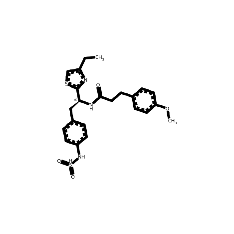 CCc1csc([C@H](Cc2ccc(N[SH](=O)=O)cc2)NC(=O)CCc2ccc(OC)cc2)n1